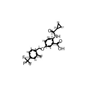 O=C(O)c1cc(OCc2ccc(C(F)(F)F)cc2F)ccc1NC(=O)C1CC1